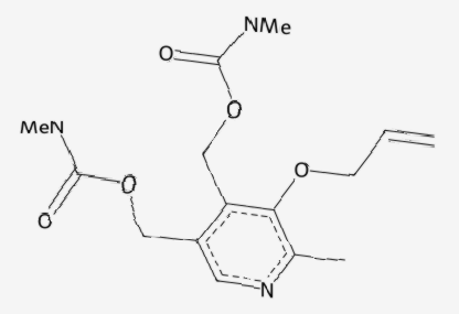 C=CCOc1c(C)ncc(COC(=O)NC)c1COC(=O)NC